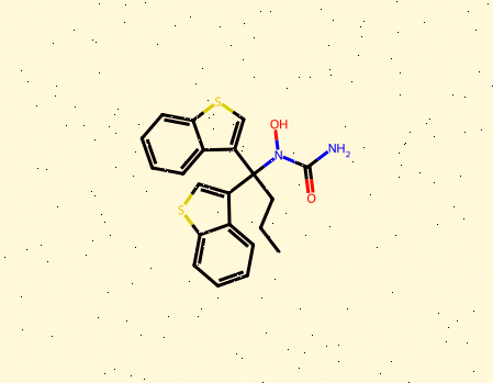 CCCC(c1csc2ccccc12)(c1csc2ccccc12)N(O)C(N)=O